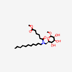 CCCCCCCCCCCN(C[C@H]1O[C@H](OC)[C@H](O)[C@@H](O)[C@@H]1O)C(=O)CCCCC(=O)OC